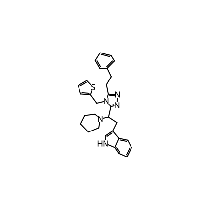 c1ccc(CCc2nnc(C(Cc3c[nH]c4ccccc34)N3CCCCC3)n2Cc2cccs2)cc1